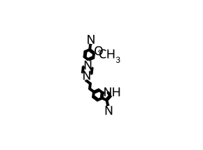 COc1cc(N2CCN(CCCc3ccc4c(C#N)c[nH]c4c3)CC2)ccc1C#N